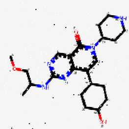 COCC(C)Nc1ncc2c(=O)n(C3CCNCC3)cc(C3CCC(O)CC3)c2n1